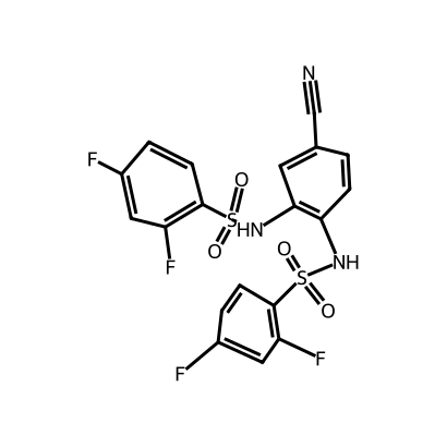 N#Cc1ccc(NS(=O)(=O)c2ccc(F)cc2F)c(NS(=O)(=O)c2ccc(F)cc2F)c1